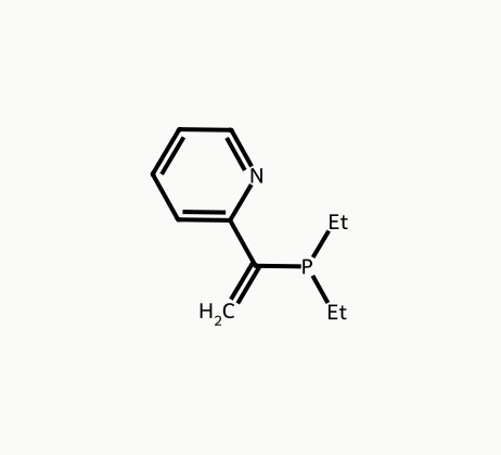 C=C(c1ccccn1)P(CC)CC